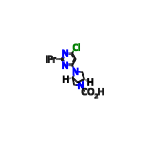 CC(C)c1nc(Cl)cc(N2C[C@@H]3C[C@H]2CN3C(=O)O)n1